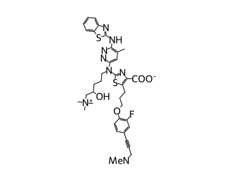 CNCC#Cc1ccc(OCCCc2sc(N(CCCC(O)C[N+](C)(C)C)c3cc(C)c(Nc4nc5ccccc5s4)nn3)nc2C(=O)[O-])c(F)c1